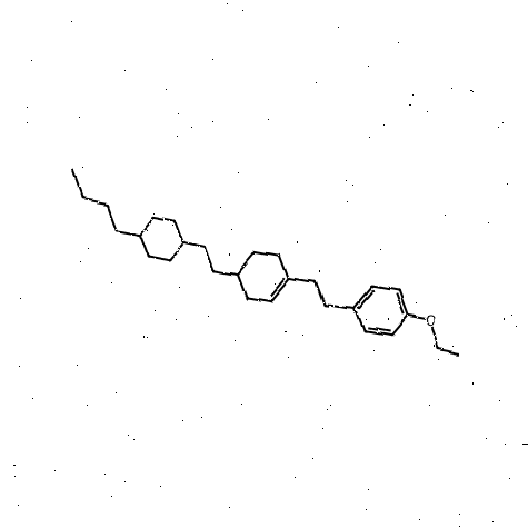 CCCCC1CCC(CCC2CC=C(CCc3ccc(OCC)cc3)CC2)CC1